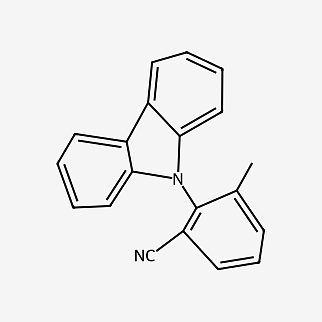 Cc1cccc(C#N)c1-n1c2ccccc2c2ccccc21